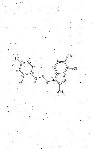 Cc1cc2c(Cl)c(C#N)ccc2n1CCOc1ccc(F)cc1F